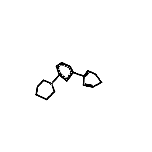 C1=CC(c2cccc(N3CCCCC3)c2)=CCC1